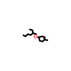 CCCCC(CC)COC1CC=C(C)CC1